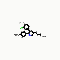 COCCCc1cnc(-c2ccc(OC)cc2)c(-c2ccc(C(=O)O)c(Cl)c2)c1